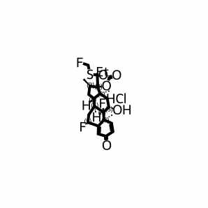 CCC(=O)O[C@]1(C(=O)SCF)[C@H](C)C[C@H]2[C@@H]3C[C@H](F)C4=CC(=O)C=C[C@]4(C)[C@@]3(F)[C@@H](O)C[C@@]21C.Cl